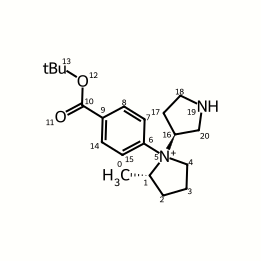 C[C@H]1CCC[N+]1(c1ccc(C(=O)OC(C)(C)C)cc1)[C@H]1CCNC1